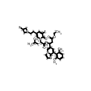 CCOC(=O)CC(NC(=O)[C@H](CC(C)C)n1cc(CCN2CC(F)C2)cc(F)c1=O)c1cc(-c2c(C)cccc2C)c2nccn2c1